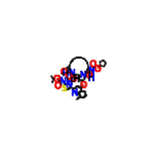 COC(=O)[C@@]12CC1/C=C\CCCCC[C@H](NC(=O)OC1CCCC1)C(=O)N1C[C@H](Oc3cc(-c4csc(NC(=O)OC(C)C)n4)nc4c(C)cccc34)C[C@H]1C(=O)N2